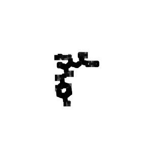 CCCCCC(CN(O)C=O)C(=O)NNc1ncc(CC)cn1